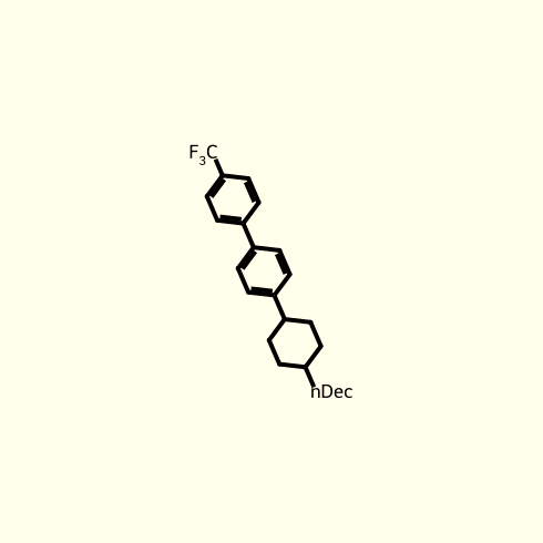 CCCCCCCCCCC1CCC(c2ccc(-c3ccc(C(F)(F)F)cc3)cc2)CC1